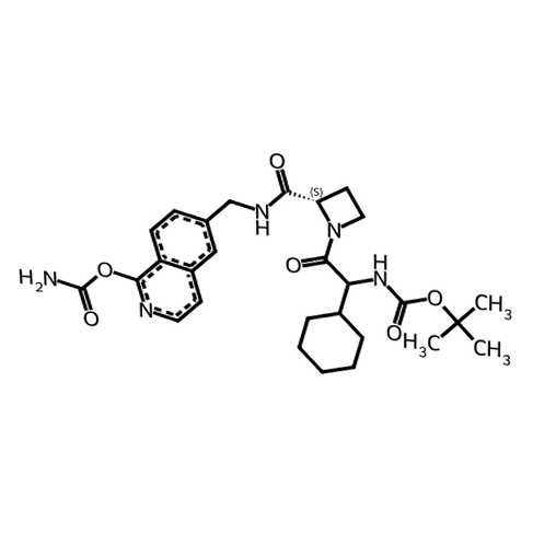 CC(C)(C)OC(=O)NC(C(=O)N1CC[C@H]1C(=O)NCc1ccc2c(OC(N)=O)nccc2c1)C1CCCCC1